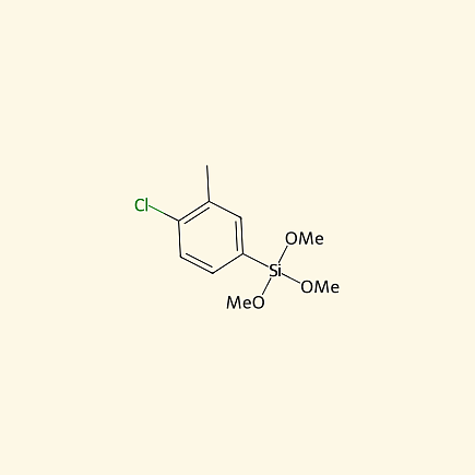 CO[Si](OC)(OC)c1ccc(Cl)c(C)c1